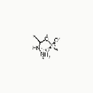 CC(NN)OS(C)(=O)=O